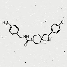 Cc1ccc(CNC(=O)N2CCC3(CC2)CC(c2ccc(Cl)cc2)=NO3)cc1